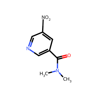 CN(C)C(=O)c1cncc([N+](=O)[O-])c1